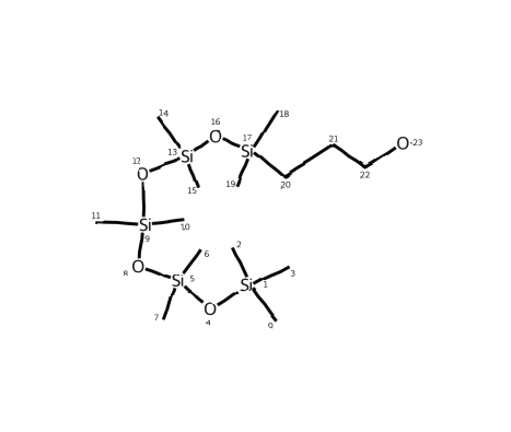 C[Si](C)(C)O[Si](C)(C)O[Si](C)(C)O[Si](C)(C)O[Si](C)(C)CCC[O]